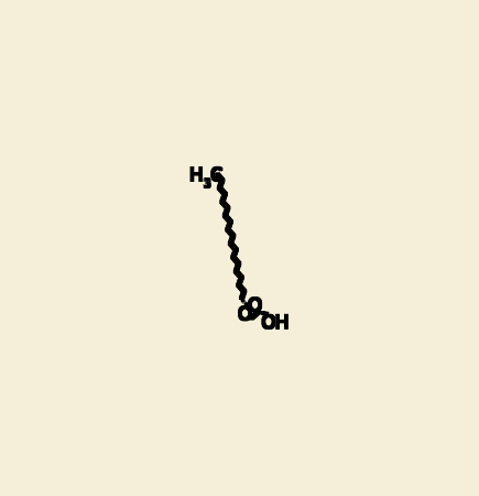 CCCCCCCCCCCCCCCCCCC[C@H]1OC[C@H](CO)O1